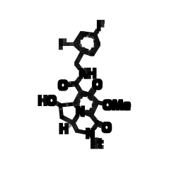 CCN1C[C@H]2CC(O)c3c(C(=O)NCc4ccc(F)cc4F)c(=O)c(OC)c(n32)C1=O